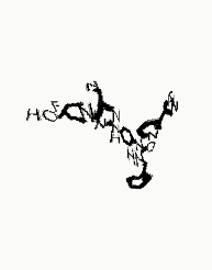 Cn1cc(-c2ccc(N(C(=O)NCc3ccccc3)C3CCC(Nc4ncc(C#N)c(N5CCC(F)(CO)CC5)n4)CC3)nc2)cn1